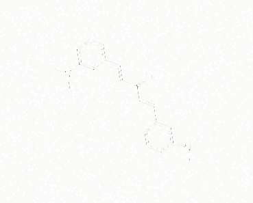 CN(C)c1cccc(C=CC(=O)C=Cc2cccc(N(C)C)c2)c1